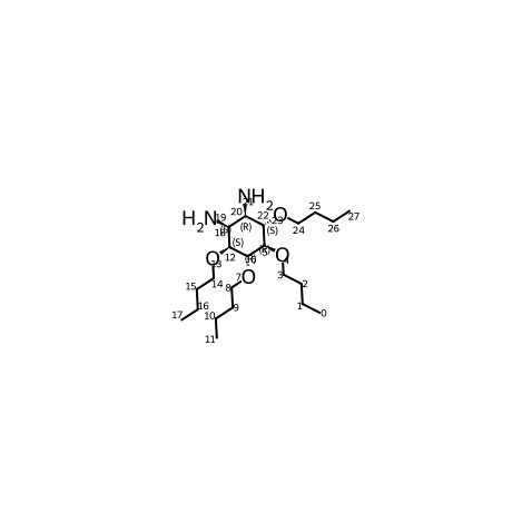 CCCCO[C@H]1[C@H](OCCCC)[C@@H](OCCCC)[C@@H](N)[C@@H](N)[C@@H]1OCCCC